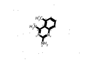 Cc1cccc2nc(N)nc(N)c12